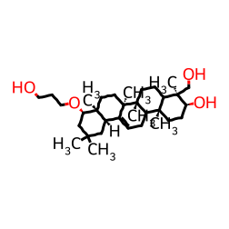 CC1(C)C[C@@H](OCCCO)[C@]2(C)CC[C@]3(C)C(=CCC4[C@@]5(C)CC[C@H](O)[C@](C)(CO)C5CC[C@]43C)[C@@H]2C1